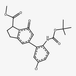 COC(=O)C1CCc2cc(-c3cc(Cl)ccc3NC(=O)OC(C)(C)C)cc(=O)n21